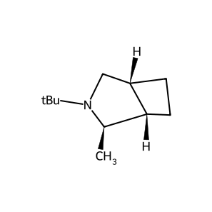 C[C@@H]1[C@H]2CC[C@H]2CN1C(C)(C)C